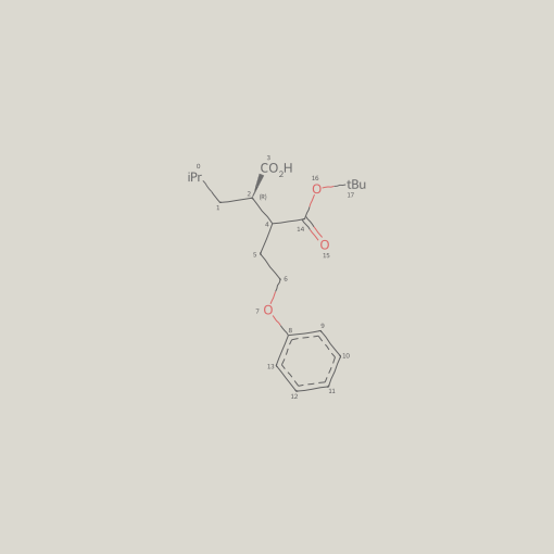 CC(C)C[C@@H](C(=O)O)C(CCOc1ccccc1)C(=O)OC(C)(C)C